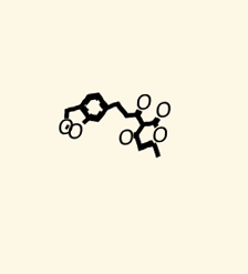 CC1=CC(=O)C(C(=O)CCc2ccc3c(c2)OOC3)C(=O)O1